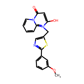 COc1cccc(-c2ncc(C[n+]3c(O)cc(=O)n4ccccc43)s2)c1